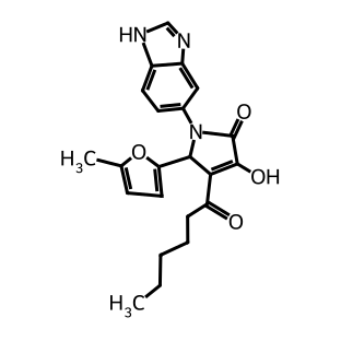 CCCCCC(=O)C1=C(O)C(=O)N(c2ccc3[nH]cnc3c2)C1c1ccc(C)o1